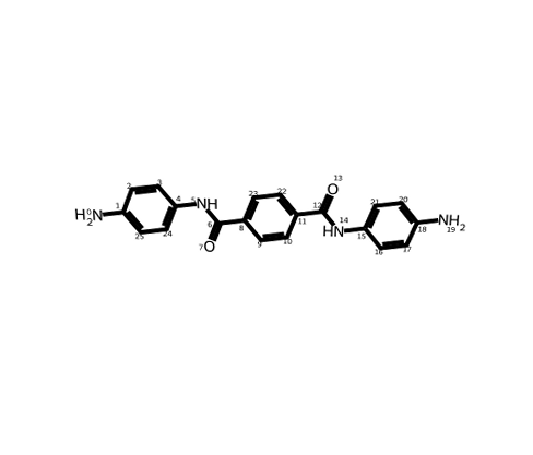 Nc1ccc(NC(=O)c2ccc(C(=O)Nc3ccc(N)cc3)cc2)cc1